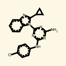 Nc1nc(Nc2ccc(Cl)cc2)nc(-n2c(C3CC3)nc3ccccc32)n1